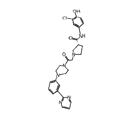 O=C(Nc1ccc(O)c(Cl)c1)[C@@H]1CCN(CC(=O)N2CCN(c3cccc(-c4ncccn4)c3)CC2)C1